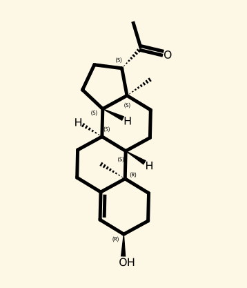 CC(=O)[C@H]1CC[C@H]2[C@@H]3CCC4=C[C@H](O)CC[C@]4(C)[C@H]3CC[C@]12C